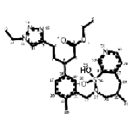 CCOC(=O)CC(CCc1cn(CC)nn1)c1ccc(C)c(CN2CC(C)Cc3ccncc3S2(O)O)c1